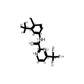 Cc1ccc(NC(=O)c2nccc(C(F)(F)F)n2)cc1C(C)(C)C